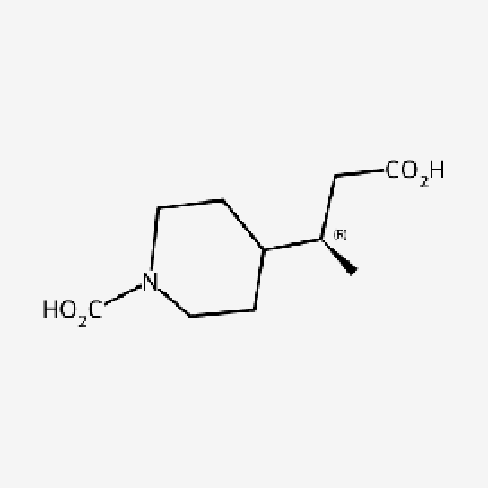 C[C@H](CC(=O)O)C1CCN(C(=O)O)CC1